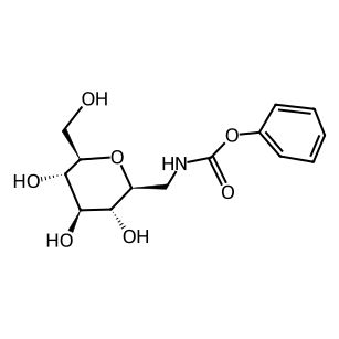 O=C(NC[C@@H]1O[C@H](CO)[C@@H](O)[C@H](O)[C@H]1O)Oc1ccccc1